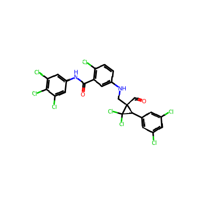 O=CC1(CNc2ccc(Cl)c(C(=O)Nc3cc(Cl)c(Cl)c(Cl)c3)c2)C(c2cc(Cl)cc(Cl)c2)C1(Cl)Cl